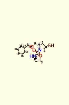 CNS(=O)(=O)N1C[C@H](S)C[C@H]1COCc1ccccc1